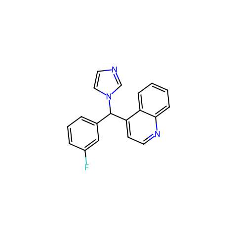 Fc1cccc(C(c2ccnc3ccccc23)n2ccnc2)c1